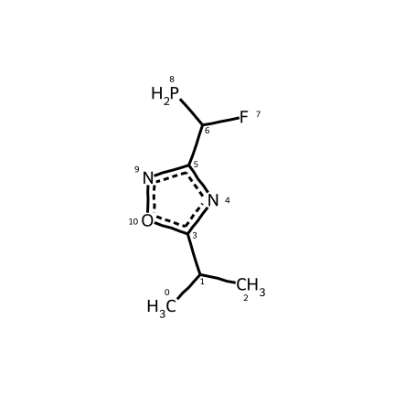 CC(C)c1nc(C(F)P)no1